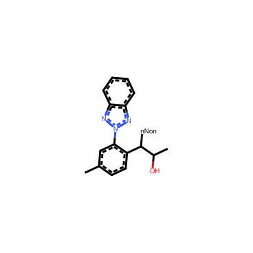 CCCCCCCCCC(c1ccc(C)cc1-n1nc2ccccc2n1)C(C)O